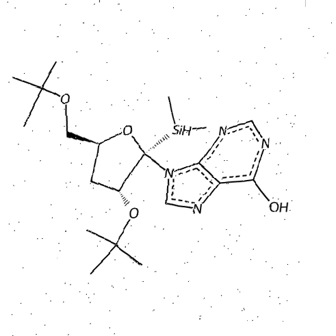 C[SiH](C)[C@@]1(n2cnc3c(O)ncnc32)O[C@H](COC(C)(C)C)C[C@H]1OC(C)(C)C